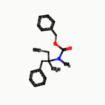 CN(C(=O)OCc1ccccc1)C(CC=O)(Cc1ccccc1)C(=O)O